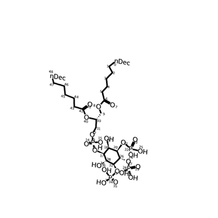 CCCCCCCCCCCCCCCC(=O)OC[C@H](COP(=O)(O)O[C@H]1[C@@H](O)[C@@H](OP(=O)(O)O)[C@H](OP(=O)(O)O)[C@@H](OP(=O)(O)O)[C@@H]1O)OC(=O)CCCCCCCCCCCCCCC